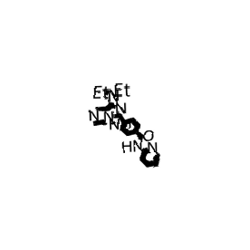 CCN(CC)C1=C2C=NC=C[N+]2(N)C(c2ccc(C(=O)Nc3ccccn3)cc2)=N1